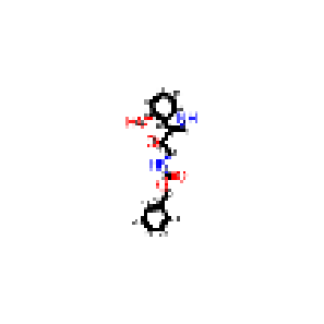 O=C(NCC(=O)c1c[nH]c2cccc(O)c12)OCc1ccccc1